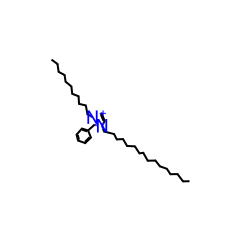 CCCCCCCCCCCCCCCCn1cc[n+](CCCCCCCCCCC)c1-c1ccccc1